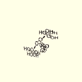 O=C([C@H]1CCCO1)N1CCC2(CC1)c1cc(C#C[C@H]3O[C@H](CO)[C@@H](O)[C@H](O)[C@@H]3O)ccc1-c1ccc(C#C[C@H]3O[C@H](CO)[C@@H](O)[C@H](O)[C@@H]3O)cc12